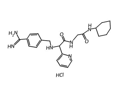 Cl.N=C(N)c1ccc(CNC(C(=O)NCC(=O)NC2CCCCC2)c2ccccn2)cc1